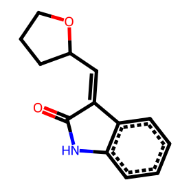 O=C1Nc2ccccc2C1=CC1CCCO1